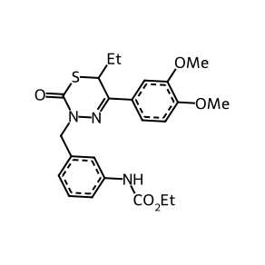 CCOC(=O)Nc1cccc(CN2N=C(c3ccc(OC)c(OC)c3)C(CC)SC2=O)c1